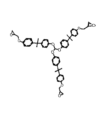 CC(C)(c1ccc(OCC2CO2)cc1)c1ccc(OC(Oc2ccc(C(C)(C)c3ccc(OCC4CO4)cc3)cc2)Oc2ccc(C(C)(C)c3ccc(OCC4CO4)cc3)cc2)cc1